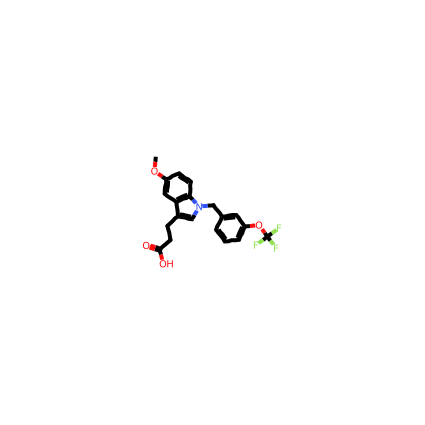 COc1ccc2c(c1)c(CCC(=O)O)cn2Cc1cccc(OC(F)(F)F)c1